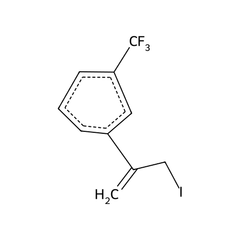 C=C(CI)c1cccc(C(F)(F)F)c1